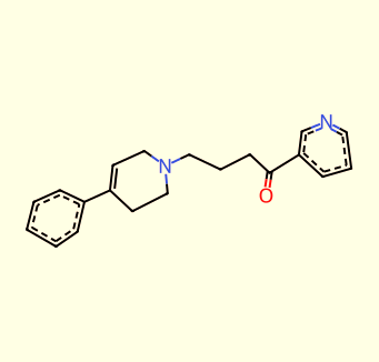 O=C(CCCN1CC=C(c2ccccc2)CC1)c1cccnc1